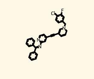 Fc1cc(CN2C=C(C#Cc3ccnc(N=C(c4ccccc4)c4ccccc4)c3)C=CC2)ccc1Cl